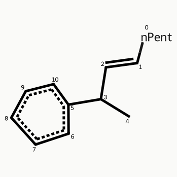 CCCCCC=CC(C)c1ccccc1